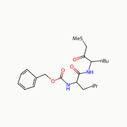 CCCCC(NC(=O)C(CC(C)C)NC(=O)OCc1ccccc1)C(=O)CSC